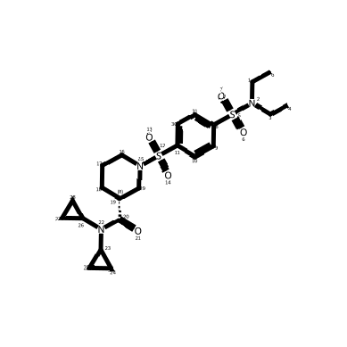 CCN(CC)S(=O)(=O)c1ccc(S(=O)(=O)N2CCC[C@@H](C(=O)N(C3CC3)C3CC3)C2)cc1